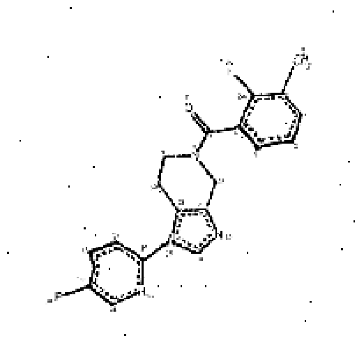 Cc1cccc(C(=O)N2CCc3c(ncn3-c3ccc(F)cn3)C2)c1F